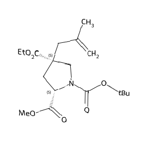 C=C(C)C[C@]1(C(=O)OCC)C[C@@H](C(=O)OC)N(C(=O)OC(C)(C)C)C1